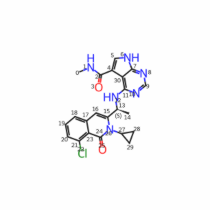 CNC(=O)c1c[nH]c2ncnc(N[C@@H](C)c3cc4cccc(Cl)c4c(=O)n3C3CC3)c12